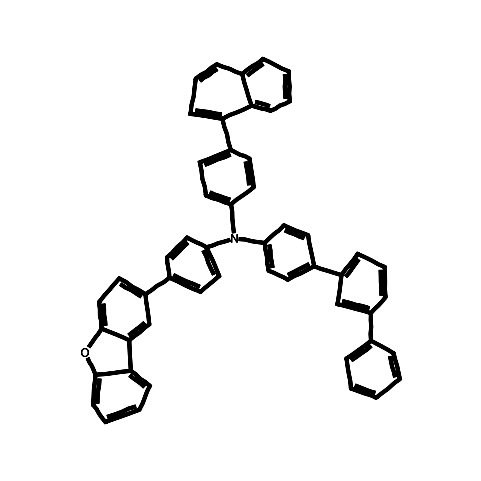 c1ccc(-c2cccc(-c3ccc(N(c4ccc(-c5ccc6oc7ccccc7c6c5)cc4)c4ccc(-c5cccc6ccccc56)cc4)cc3)c2)cc1